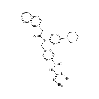 N=N/C(=N\N)NC(=O)c1ccc(CN(C(=O)Cc2ccc3ccccc3c2)c2ccc(C3CCCCC3)cc2)cc1